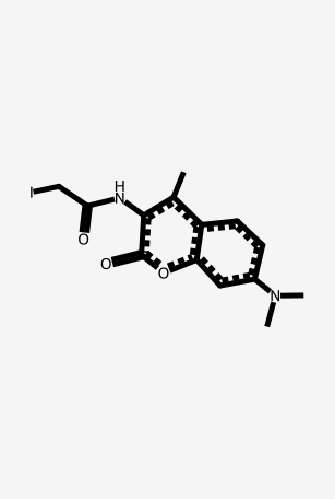 Cc1c(NC(=O)CI)c(=O)oc2cc(N(C)C)ccc12